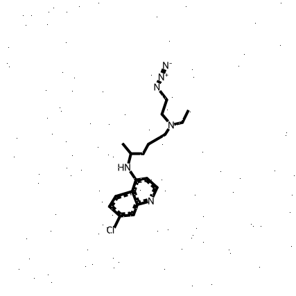 CCN(CCCC(C)Nc1ccnc2cc(Cl)ccc12)CCN=[N+]=[N-]